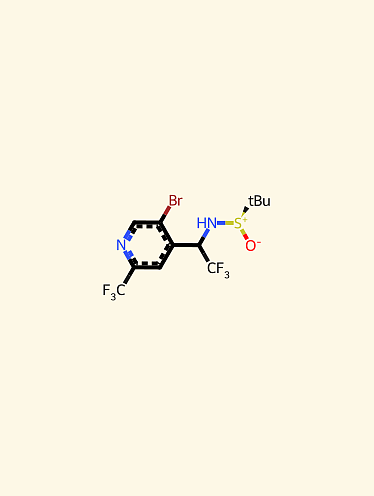 CC(C)(C)[S@@+]([O-])NC(c1cc(C(F)(F)F)ncc1Br)C(F)(F)F